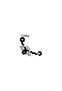 COc1ccc(CCNC(=O)[C@H]2[C@H](C(=O)NCCCCN3CCCC3)[C@H]3C=C[C@@H]2C32CC2)cc1